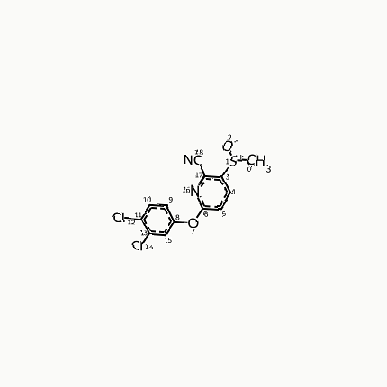 C[S+]([O-])c1ccc(Oc2ccc(Cl)c(Cl)c2)nc1C#N